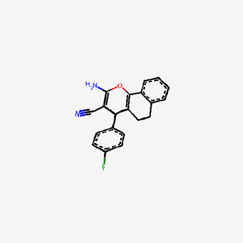 N#CC1=C(N)OC2=C(CCc3ccccc32)C1c1ccc(F)cc1